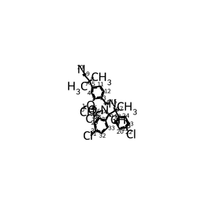 CCOc1cc(C(C)(C)C#N)ccc1C1=NC(C)(c2ccc(Cl)cc2)C(C)(c2ccc(Cl)cc2)N1C(=O)Cl